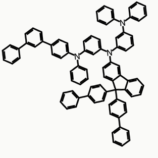 c1ccc(-c2ccc(C3(c4ccc(-c5ccccc5)cc4)c4ccccc4-c4cc(N(c5cccc(N(c6ccccc6)c6ccccc6)c5)c5cccc(N(c6ccccc6)c6ccc(-c7cccc(-c8ccccc8)c7)cc6)c5)ccc43)cc2)cc1